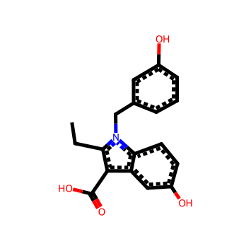 CCc1c(C(=O)O)c2cc(O)ccc2n1Cc1cccc(O)c1